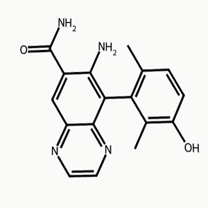 Cc1ccc(O)c(C)c1-c1c(N)c(C(N)=O)cc2nccnc12